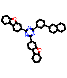 c1cc(-c2ccc3ccccc3c2)cc(-c2nc(-c3ccc4c(c3)oc3ccccc34)nc(-c3ccc4c(c3)oc3ccccc34)n2)c1